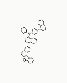 C1=CCCC(N(c2ccc(-c3cccc4ccccc34)cc2)c2ccc(-c3ccc4c(ccc5oc6ccccc6c54)c3)c3c2C=CCC3)=C1